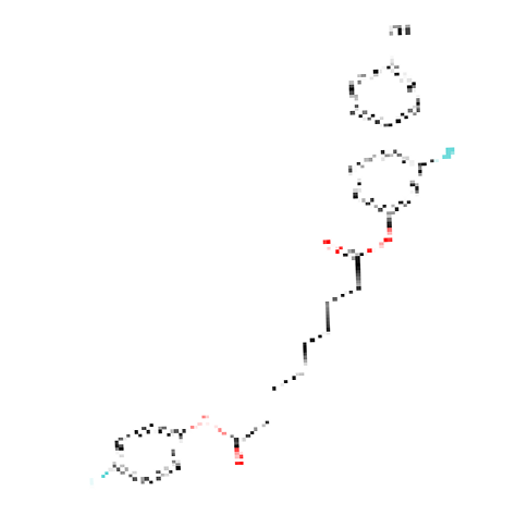 N#Cc1ccc(-c2ccc(OC(=O)CCCCCCCC(=O)Oc3ccc(F)cc3)cc2F)cc1